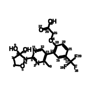 Cc1nc(N2OCCC2(O)O)ncc1-c1cc(C(F)(F)F)ccc1OCC(=O)O